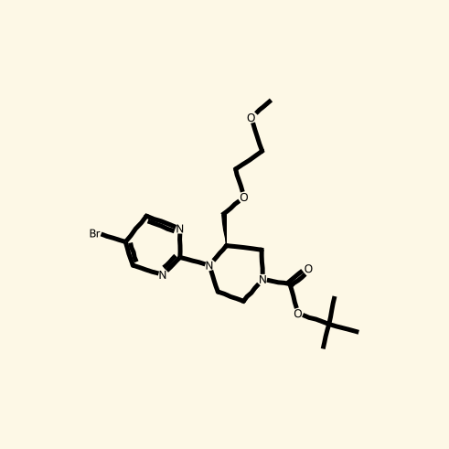 COCCOC[C@H]1CN(C(=O)OC(C)(C)C)CCN1c1ncc(Br)cn1